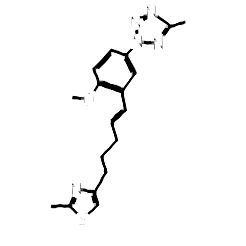 COc1ccc(-n2nnc(C)n2)cc1/C=C/CCCc1csc(C)n1